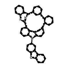 c1cc2cc(c1)c1nc(nc3ccccc31)c1cccc3c1c1cc(ccc1n3-c1ccc3oc4ccccc4c3c1)c1ccccc21